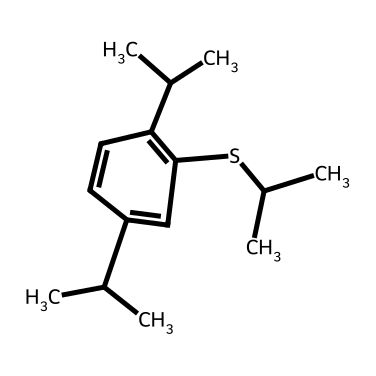 CC(C)Sc1cc(C(C)C)ccc1C(C)C